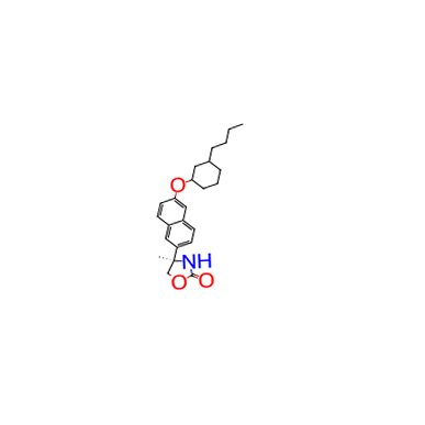 CCCCC1CCCC(Oc2ccc3cc([C@]4(C)COC(=O)N4)ccc3c2)C1